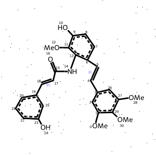 COc1cc(/C=C/c2ccc(O)c(OC)c2NC(=O)/C=C/c2cccc(O)c2)cc(OC)c1OC